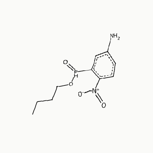 CCCCO[PH](=O)c1cc(N)ccc1[N+](=O)[O-]